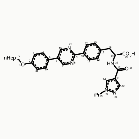 CCCCCCCOc1ccc(-c2cnc(-c3ccc(C[C@H](NC(=O)c4cnn(C(C)C)c4)C(=O)O)cc3)nc2)cc1